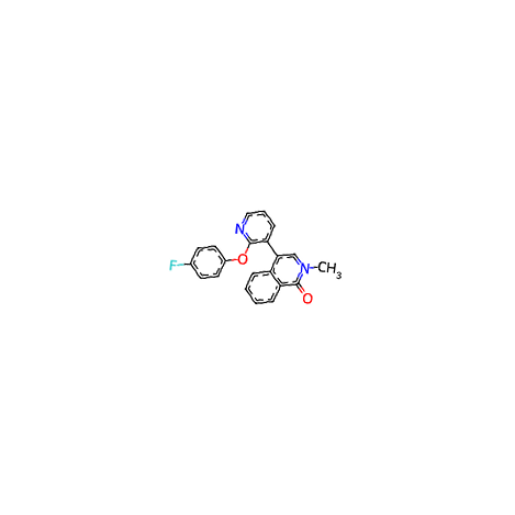 Cn1cc(-c2cccnc2Oc2ccc(F)cc2)c2ccccc2c1=O